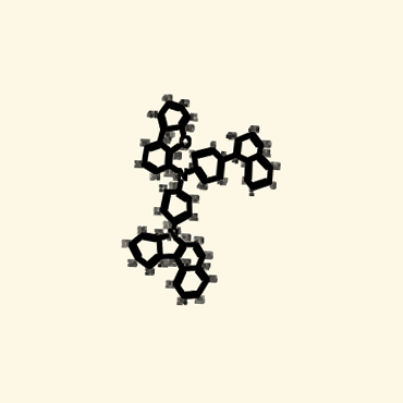 c1ccc2c(-c3ccc(N(c4ccc(-n5c6ccccc6c6c7ccccc7ccc65)cc4)c4cccc5c4oc4ccccc45)cc3)cccc2c1